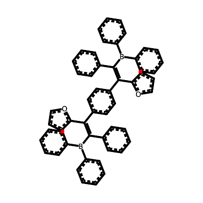 c1ccc(B(/C(=C(/c2ccc(/C(=C(/B(c3ccccc3)c3ccccc3)c3ccccc3)c3ccco3)cc2)c2ccco2)c2ccccc2)c2ccccc2)cc1